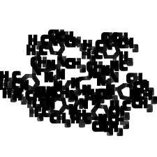 CN(CCN(CCN(C)c1nc(N(C)C2CC(C)(C)N(C)C(C)(C)C2)nc(N(C)C2CC(C)(C)N(C)C(C)(C)C2)n1)c1nc(N(C)C2CC(C)(C)N(C)C(C)(C)C2)nc(N(C)C2CC(C)(C)N(C)C(C)(C)C2)n1)c1nc(N(C)C2CC(C)(C)N(C)C(C)(C)C2)nc(N(C)C2CC(C)(C)N(C)C(C)(C)C2)n1